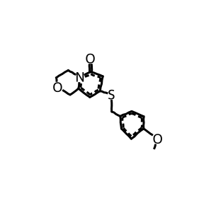 COc1ccc(CSc2cc3n(c(=O)c2)CCOC3)cc1